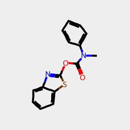 CN(C(=O)Oc1nc2ccccc2s1)c1ccccc1